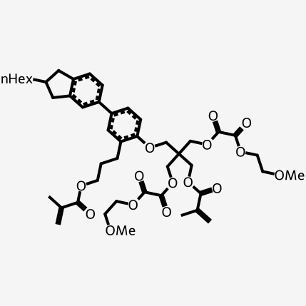 C=C(C)C(=O)OCCCc1cc(-c2ccc3c(c2)CC(CCCCCC)C3)ccc1OCC(COC(=O)C(=C)C)(COC(=O)C(=O)OCCOC)COC(=O)C(=O)OCCOC